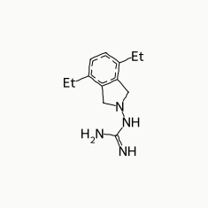 CCc1ccc(CC)c2c1CN(NC(=N)N)C2